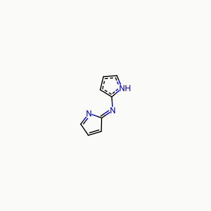 C1=C/C(=N/c2ccc[nH]2)N=C1